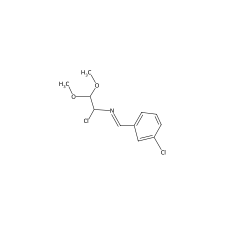 COC(OC)C(Cl)N=Cc1cccc(Cl)c1